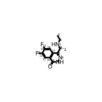 CCN[C@H](C)c1n[nH]c(=O)c2cc(F)c(F)cc12